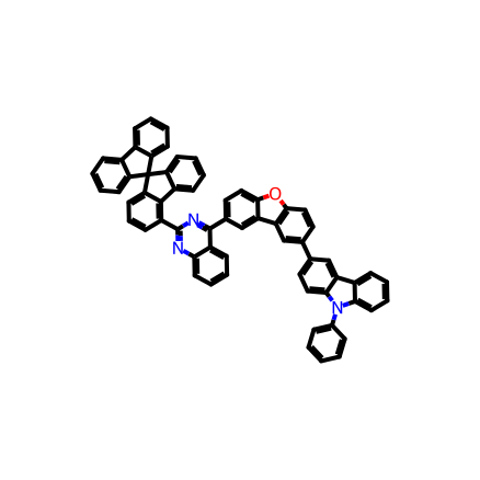 c1ccc(-n2c3ccccc3c3cc(-c4ccc5oc6ccc(-c7nc(-c8cccc9c8-c8ccccc8C98c9ccccc9-c9ccccc98)nc8ccccc78)cc6c5c4)ccc32)cc1